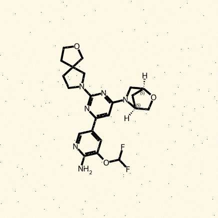 Nc1ncc(-c2cc(N3C[C@@H]4C[C@H]3CO4)nc(N3CCC4(CCOC4)C3)n2)cc1OC(F)F